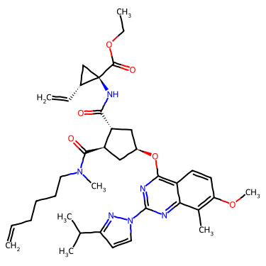 C=CCCCCN(C)C(=O)[C@@H]1C[C@H](Oc2nc(-n3ccc(C(C)C)n3)nc3c(C)c(OC)ccc23)C[C@H]1C(=O)N[C@]1(C(=O)OCC)C[C@H]1C=C